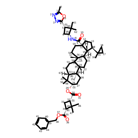 Cc1nnc([C@H]2C[C@@H](NC(=O)[C@]34CC[C@@H](C5(C)CC5)[C@@H]3[C@H]3CC[C@@H]5[C@@]6(C)CC[C@H](OC(=O)[C@H]7C[C@@H](C(=O)OCc8ccccc8)C7(C)C)C(C)(C)[C@@H]6CC[C@@]5(C)[C@]3(C)CC4)C2(C)C)o1